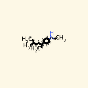 C=C/C(C)=C\C=C(/C=C)c1ccc(NCC)cc1